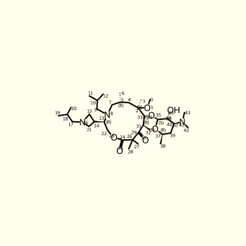 CO[C@]1(C)C[C@@H](C)CN(CC(C)C)[C@H](C2CN(CC(C)C)C2)COC(=O)C(C)(C)C(=O)[C@H](C)[C@H]1O[C@@H]1O[C@H](C)C[C@H](N(C)C)[C@H]1O